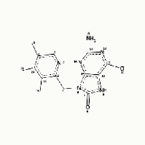 Cc1cnc(Cn2c(=O)[nH]c3c(Cl)nc(N)nc32)c(C)c1C